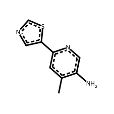 Cc1cc(-c2cncs2)ncc1N